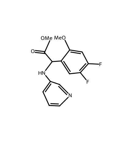 COC(=O)C(Nc1cccnc1)c1cc(F)c(F)cc1OC